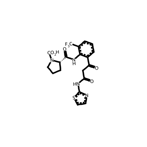 O=C(CC(=O)c1cccc(C(F)(F)F)c1NC(=O)[C@@H]1CCCN1C(=O)O)Nc1nccs1